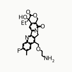 CC[C@@]1(O)C(=O)OCc2c1cc1n(c2=O)Cc2c-1nc1cc(F)c(C)cc1c2COCCN